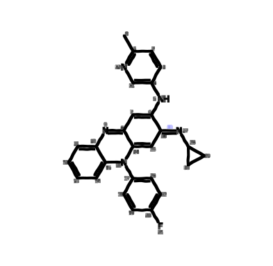 Cc1ccc(Nc2cc3nc4ccccc4n(-c4ccc(F)cc4)c-3c/c2=N\C2CC2)cn1